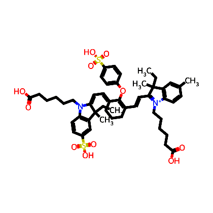 CCC1(C)C(/C=C/C2=C(Oc3ccc(S(=O)(=O)O)cc3)C(=C/C=C3/N(CCCCCC(=O)O)c4ccc(S(=O)(=O)O)cc4C3(C)CC)/CCC2)=[N+](CCCCCC(=O)O)c2ccc(C)cc21